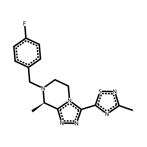 Cc1nsc(-c2nnc3n2CCN(Cc2ccc(F)cc2)[C@@H]3C)n1